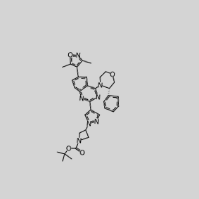 Cc1noc(C)c1-c1ccc2nc(-c3cnn(C4CN(C(=O)OC(C)(C)C)C4)c3)nc(N3CCOC[C@@H]3c3ccccc3)c2c1